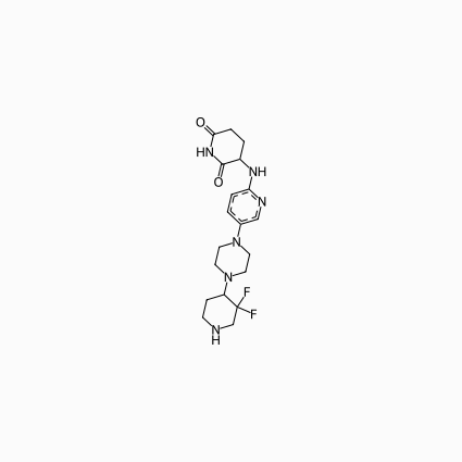 O=C1CCC(Nc2ccc(N3CCN(C4CCNCC4(F)F)CC3)cn2)C(=O)N1